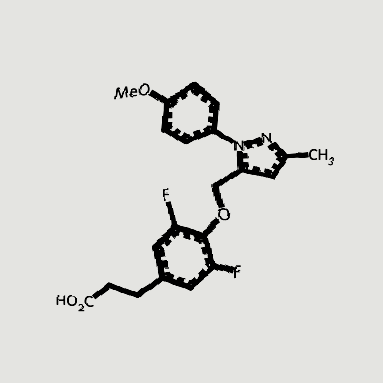 COc1ccc(-n2nc(C)cc2COc2c(F)cc(CCC(=O)O)cc2F)cc1